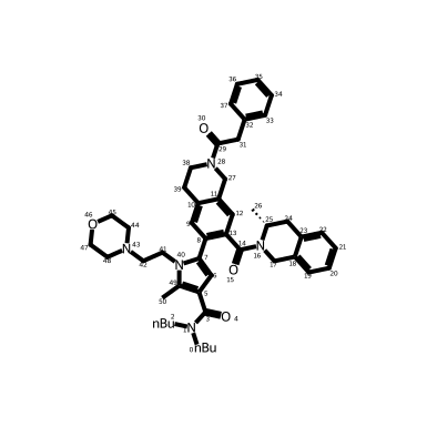 CCCCN(CCCC)C(=O)c1cc(-c2cc3c(cc2C(=O)N2Cc4ccccc4C[C@H]2C)CN(C(=O)Cc2ccccc2)CC3)n(CCN2CCOCC2)c1C